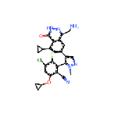 Cn1ncc(-c2cc(C3CC3)c3c(=O)[nH]nc(CN)c3c2)c1-c1c(F)c(Cl)cc(OC2CC2)c1C#N